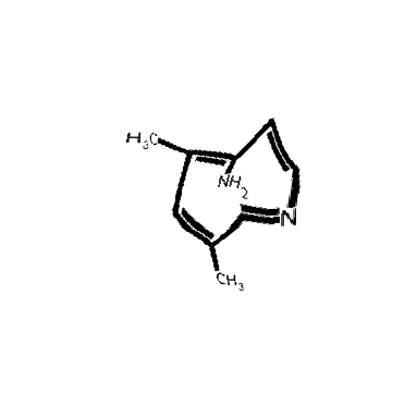 CC1=C/C(C)=C(N)/C=C\N=C\1